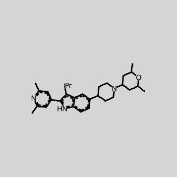 Cc1cc(-c2[nH]c3ccc(C4CCN(C5CC(C)OC(C)C5)CC4)cc3c2C(C)C)cc(C)n1